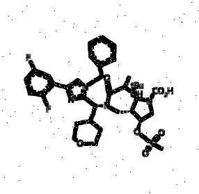 CC(O)C(=O)N(C[C@@H]1C(C(C)(C)C)N(C(=O)O)C[C@H]1OS(C)(=O)=O)[C@@H](c1nc(-c2cc(F)ccc2F)cn1Cc1ccccc1)C1CCOCC1